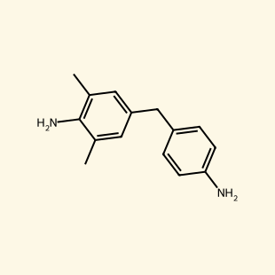 Cc1cc(Cc2ccc(N)cc2)cc(C)c1N